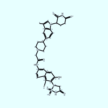 Cc1cn(C2CCC(=O)NC2=O)c2ccc(C3CCN(CC(=O)Nc4ccc5c(F)c(N6CC(=O)NS6(=O)=O)c(O)cc5c4)CC3)cc12